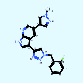 Cn1cc(-c2cnc3[nH]cc(-c4cn(Cc5ccccc5F)nn4)c3c2)cn1